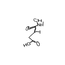 CNC(=O)C(I)CC(=O)O